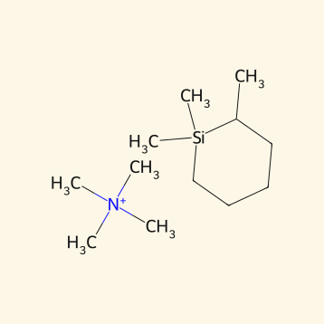 CC1CCCC[Si]1(C)C.C[N+](C)(C)C